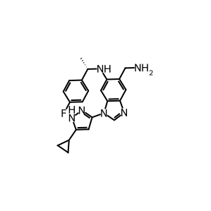 C[C@H](Nc1cc2c(cc1CN)ncn2-c1cc(C2CC2)[nH]n1)c1ccc(F)cc1